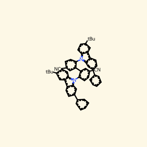 CC(C)(C)c1ccc2c(c1)c1ccc(-c3ccccc3)cc1n2-c1ccc(C#N)cc1-c1cc(C#N)ccc1-n1c2ccc(C(C)(C)C)cc2c2ccc(-c3ccccc3)cc21